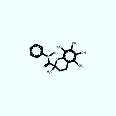 CCCCN(C(=S)C1(C)CCc2c(C)c(O)c(C)c(C)c2O1)c1ccccc1